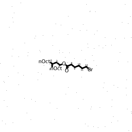 CCCCCCCCC(CCCCCCCC)CCOC(=O)CCCCCBr